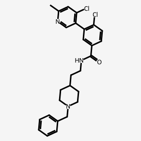 Cc1cc(Cl)c(-c2cc(C(=O)NCCC3CCN(Cc4ccccc4)CC3)ccc2Cl)cn1